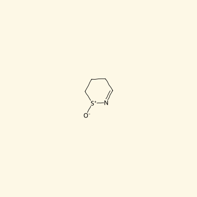 [O-][S+]1CCCC=N1